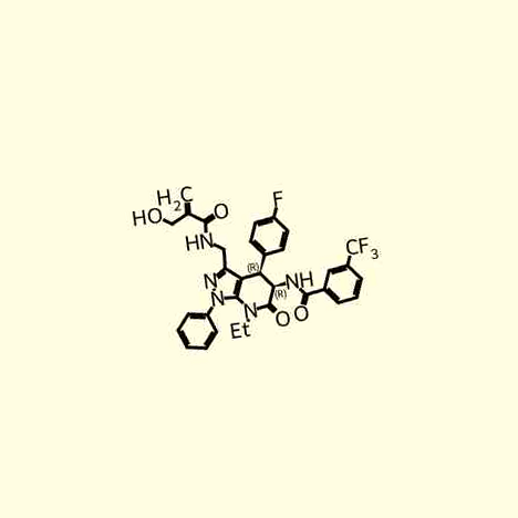 C=C(CO)C(=O)NCc1nn(-c2ccccc2)c2c1[C@@H](c1ccc(F)cc1)[C@@H](NC(=O)c1cccc(C(F)(F)F)c1)C(=O)N2CC